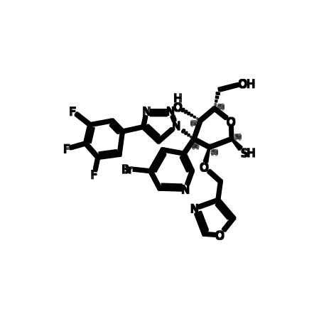 OC[C@@H]1O[C@@H](S)[C@@H](OCc2cocn2)[C@](c2cncc(Br)c2)(n2cc(-c3cc(F)c(F)c(F)c3)nn2)[C@@H]1O